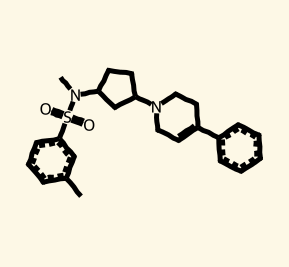 Cc1cccc(S(=O)(=O)N(C)C2CCC(N3CC=C(c4ccccc4)CC3)C2)c1